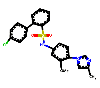 COc1cc(NS(=O)(=O)c2ccccc2-c2ccc(Cl)cc2)ccc1-n1cnc(C)c1